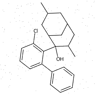 CC1CC2CC(C)C(O)(c3c(Cl)cccc3-c3ccccc3)C(C1)C2